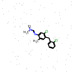 CCN(C)C=Nc1cc(Cl)c(Cc2ccccc2Cl)cc1C